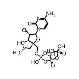 CSC[C@]1(COP(=O)(O)OP(=O)(O)OP(=O)(O)O)OC(n2ccc(N)nc2=O)[C@H](Cl)[C@@H]1O